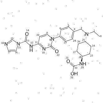 CCN(Cc1ccc(-n2ccc(NC(=O)n3ccnc3)nc2=O)cc1)[C@H]1CC[C@H](NC(=O)O)CC1